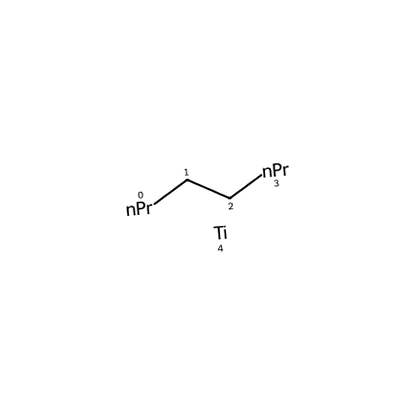 CCCCCCCC.[Ti]